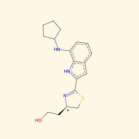 OCC[C@@H]1CSC(c2cc3cccc(NC4CCCC4)c3[nH]2)=N1